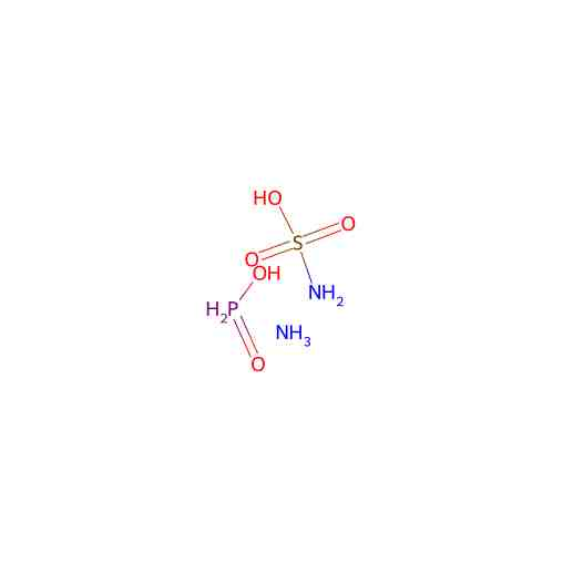 N.NS(=O)(=O)O.O=[PH2]O